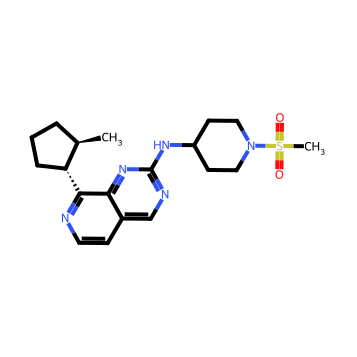 C[C@@H]1CCC[C@H]1c1nccc2cnc(NC3CCN(S(C)(=O)=O)CC3)nc12